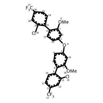 COc1cc(Oc2ccc(-c3ccc(C(F)(F)F)cc3Cl)c(OC)c2)ccc1-c1ccc(C(F)(F)F)cc1Cl